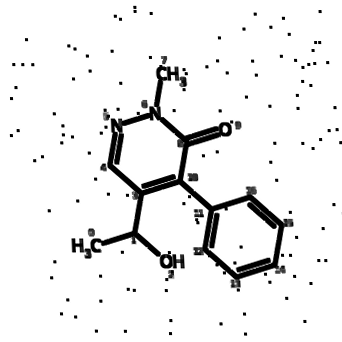 CC(O)c1cnn(C)c(=O)c1-c1ccccc1